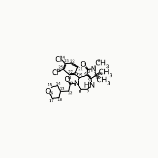 CN1C(=O)C2=C(NCCN(C(=O)CC3CCOCC3)C2c2ccc(Cl)c(Cl)c2)C1(C)C